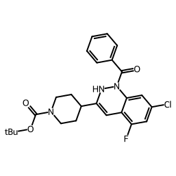 CC(C)(C)OC(=O)N1CCC(C2=Cc3c(F)cc(Cl)cc3N(C(=O)c3ccccc3)N2)CC1